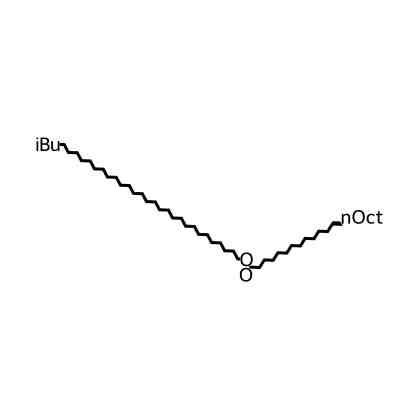 CCCCCCCCC=CCCCCCCCCCCCC(=O)OCCCCCCCCCCCCCCCCCCCCCCCCCCCCC(C)CC